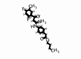 CCCCOC(=O)Cc1ccc(N/C(N)=C/C(=O)C2=CC(C)C(F)C=C2F)cc1